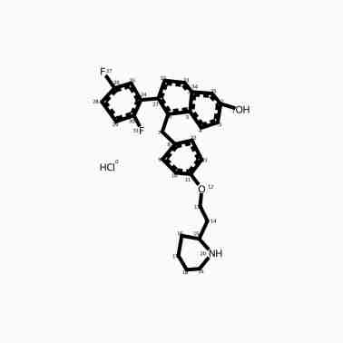 Cl.Oc1ccc2c(Cc3ccc(OCCC4CCCCN4)cc3)c(-c3cc(F)ccc3F)ccc2c1